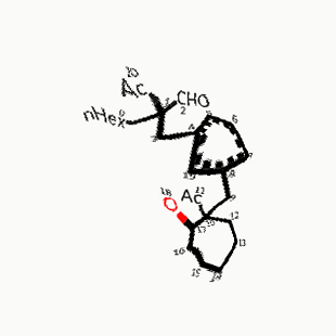 CCCCCCC(C=O)(Cc1cccc(CC2(C(C)=O)CCCCCC2=O)c1)C(C)=O